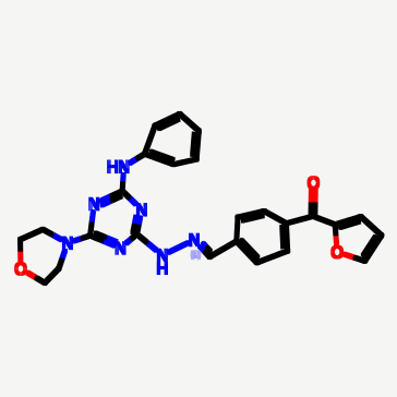 O=C(c1ccc(/C=N/Nc2nc(Nc3ccccc3)nc(N3CCOCC3)n2)cc1)c1ccco1